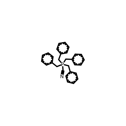 N#CP(Cc1ccccc1)(Cc1ccccc1)(Cc1ccccc1)Cc1ccccc1